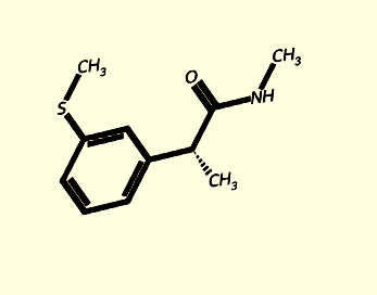 CNC(=O)[C@H](C)c1cccc(SC)c1